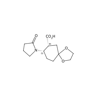 O=C(O)[C@@H]1CC2(CC[C@@H]1N1CCCC1=O)OCCO2